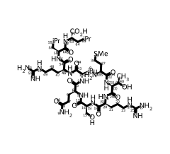 CC[C@H](C)[C@H](NC(=O)[C@H](CCC(N)=O)NC(=O)[C@H](CO)NC(=O)[C@H](CCCNC(=N)N)NC(=O)[C@@H](NC(=O)[C@@H](N)CCSC)[C@@H](C)O)C(=O)N[C@@H](CCCNC(=N)N)C(=O)N[C@@H](CC(C)C)C(=O)N[C@@H](CC(C)C)C(=O)O